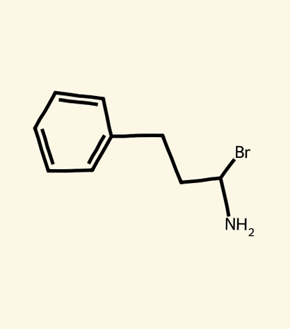 NC(Br)CCc1ccccc1